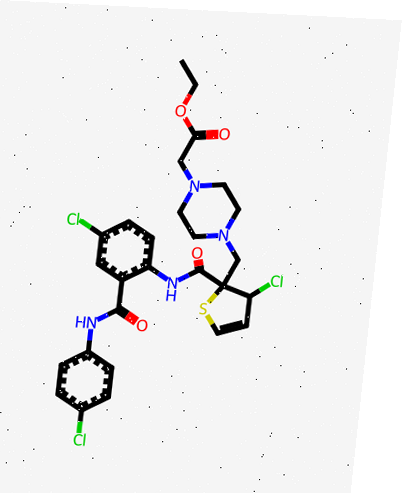 CCOC(=O)CN1CCN(CC2(C(=O)Nc3ccc(Cl)cc3C(=O)Nc3ccc(Cl)cc3)SC=CC2Cl)CC1